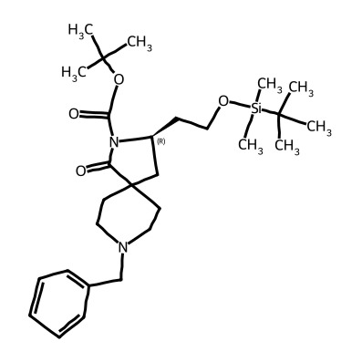 CC(C)(C)OC(=O)N1C(=O)C2(CCN(Cc3ccccc3)CC2)C[C@@H]1CCO[Si](C)(C)C(C)(C)C